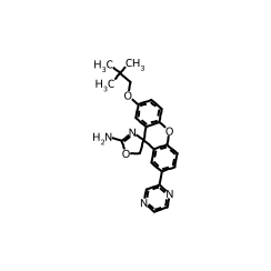 CC(C)(C)COc1ccc2c(c1)C1(COC(N)=N1)c1cc(-c3cnccn3)ccc1O2